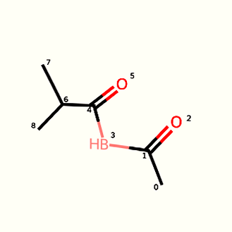 CC(=O)BC(=O)C(C)C